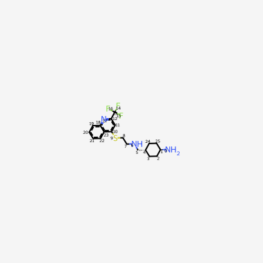 N[C@H]1CC[C@H](CNCCSc2cc(C(F)(F)F)nc3ccccc23)CC1